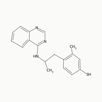 Cc1cc(S)ccc1CC(C)Nc1ncnc2ccccc12